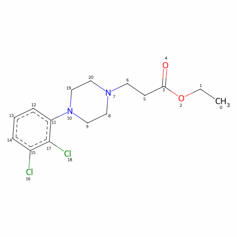 CCOC(=O)CCN1CCN(c2cccc(Cl)c2Cl)CC1